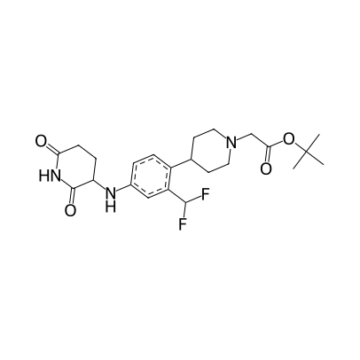 CC(C)(C)OC(=O)CN1CCC(c2ccc(NC3CCC(=O)NC3=O)cc2C(F)F)CC1